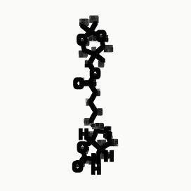 CC1(COC(=O)CCCC[C@@H]2SC[C@@H]3NC(=O)O[C@@H]32)COC(C)(C)OC1